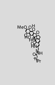 COC1=CC(=O)c2c(O)c3c(c(O)c2C1=O)C(=O)C1(CCc2cc4cc(C=NNC(=O)CN(C)C(C)C)[nH]c(=O)c4c(O)c21)C3=O